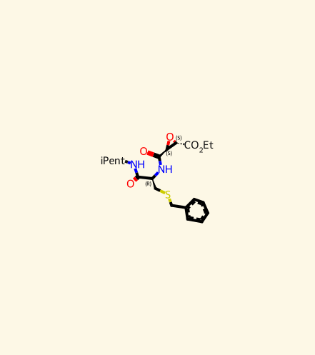 CCCC(C)NC(=O)[C@H](CSCc1ccccc1)NC(=O)[C@H]1O[C@@H]1C(=O)OCC